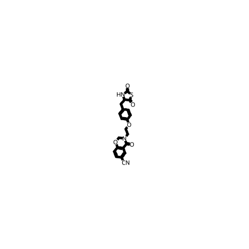 N#Cc1ccc2c(c1)C(=O)N(CCOc1ccc(CC3NC(=O)SC3=O)cc1)CO2